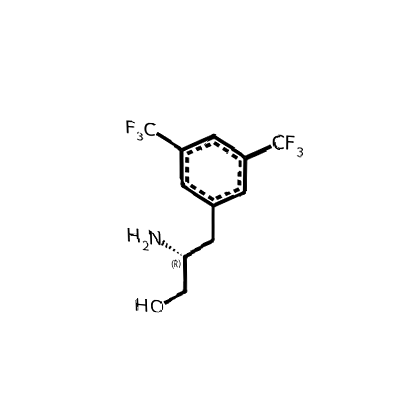 N[C@@H](CO)Cc1cc(C(F)(F)F)cc(C(F)(F)F)c1